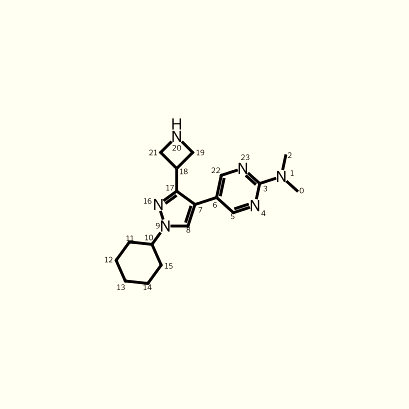 CN(C)c1ncc(-c2cn(C3CCCCC3)nc2C2CNC2)cn1